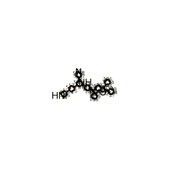 C1=CC(c2ccc(C3=CC(c4ccc(-n5c6ccccc6c6c7oc(-c8ccccc8)c(-c8ccccc8)c7ccc65)cc4)NC(c4ccncc4)=C3)cc2)=CCN1